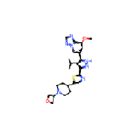 COc1cc(-c2[nH]nc(-c3ncc(C4CCN(C5COC5)CC4)s3)c2C(C)C)cn2ncnc12